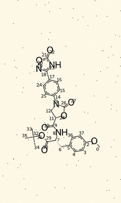 COc1ccc(C[C@@H](NC(=O)C2CN(c3ccc(-c4noc(=O)[nH]4)cc3)C(=O)O2)C(=O)OC(C)(C)C)cc1